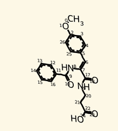 COc1ccc(C=C(NC(=O)c2ccccc2)C(=O)NCCC(=O)O)cc1